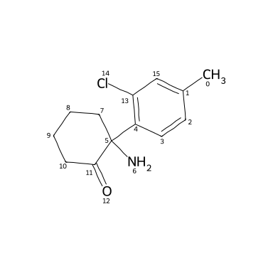 Cc1ccc(C2(N)CCCCC2=O)c(Cl)c1